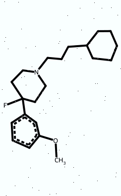 COc1cccc(C2(F)CCN(CCCC3CCCCC3)CC2)c1